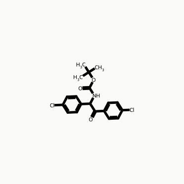 CC(C)(C)OC(=O)NC(C(=O)c1ccc(Cl)cc1)c1ccc(Cl)cc1